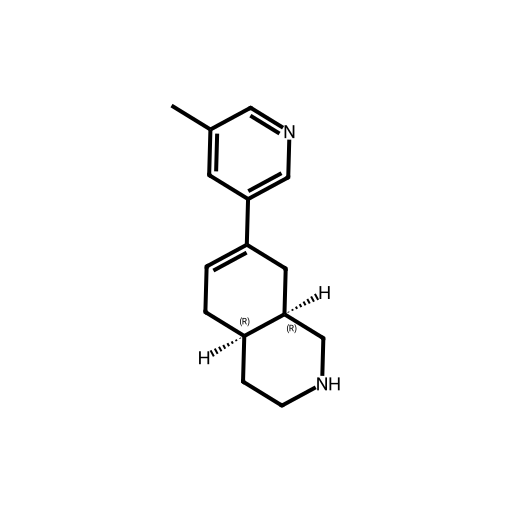 Cc1cncc(C2=CC[C@@H]3CCNC[C@@H]3C2)c1